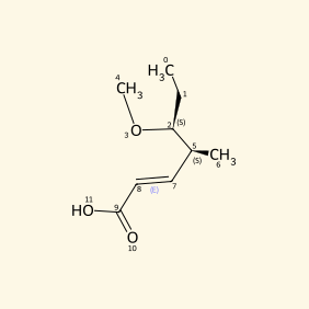 CC[C@H](OC)[C@@H](C)/C=C/C(=O)O